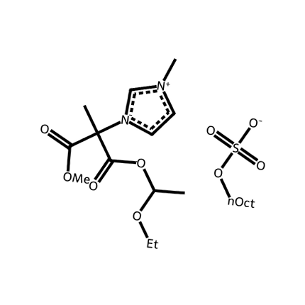 CCCCCCCCOS(=O)(=O)[O-].CCOC(C)OC(=O)C(C)(C(=O)OC)n1cc[n+](C)c1